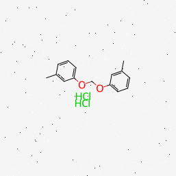 Cc1cccc(OCOc2cccc(C)c2)c1.Cl.Cl